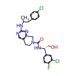 CC(Cc1ccc(Cl)cc1)Nc1ncc2c(n1)CN(C(=O)N[C@H](CO)c1ccc(F)c(Cl)c1)CC2